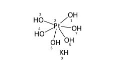 [KH].[OH][Pt]([OH])([OH])([OH])([OH])[OH]